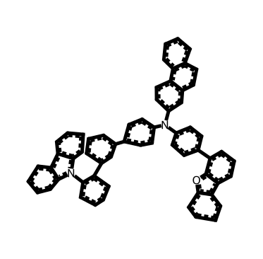 c1cc(-c2ccc(N(c3ccc(-c4cccc5c4oc4ccccc45)cc3)c3ccc4c(ccc5ccccc54)c3)cc2)cc(-c2ccccc2-n2c3ccccc3c3ccccc32)c1